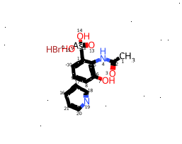 Br.CC(=O)Nc1c(O)cccc1[As](=O)(O)O.c1ccncc1